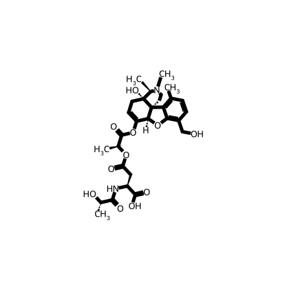 Cc1ccc(CO)c2c1[C@]13CCN(C)[C@H](C)[C@]1(O)CC=C(OC(=O)[C@H](C)OC(=O)C[C@H](NC(=O)[C@H](C)O)C(=O)O)[C@@H]3O2